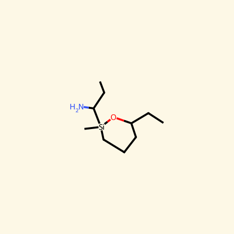 CCC1CCC[Si](C)(C(N)CC)O1